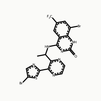 CC(Nc1nc(=O)[nH]c2c(Br)cc(C(F)(F)F)cc12)c1nccnc1-c1ncc(Br)s1